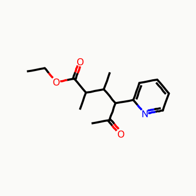 CCOC(=O)C(C)C(C)C(C(C)=O)c1ccccn1